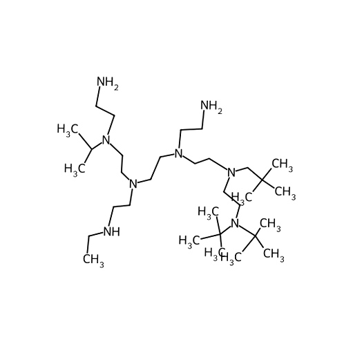 CCNCCN(CCN(CCN)CCN(CCN(C(C)(C)C)C(C)(C)C)CC(C)(C)C)CCN(CCN)C(C)C